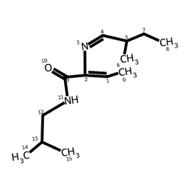 C/C=C(\N=C/C(C)CC)C(=O)NCC(C)C